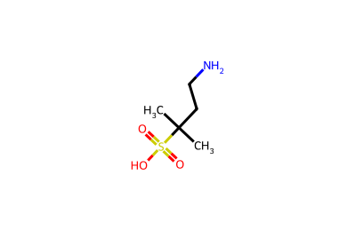 CC(C)(CCN)S(=O)(=O)O